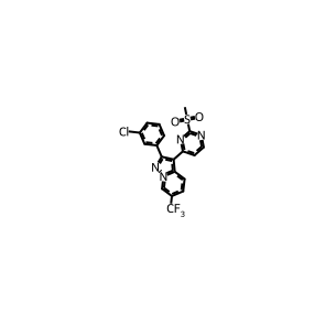 CS(=O)(=O)c1nccc(-c2c(-c3cccc(Cl)c3)nn3cc(C(F)(F)F)ccc23)n1